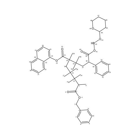 CC(C(=O)OCc1ccccc1)C(C)(C)C(C)(C)CC(C)(C(=O)Oc1cccc2ccccc12)C(C)(C)CC(C(=O)OBOC1CCCCO1)c1ccccc1